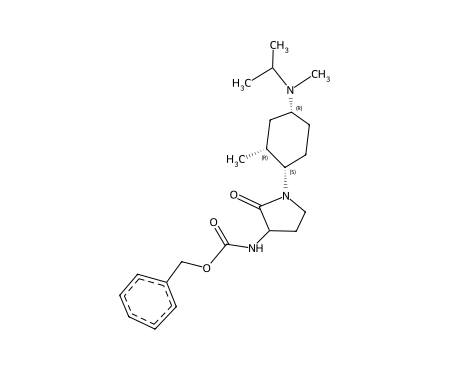 CC(C)N(C)[C@@H]1CC[C@H](N2CCC(NC(=O)OCc3ccccc3)C2=O)[C@H](C)C1